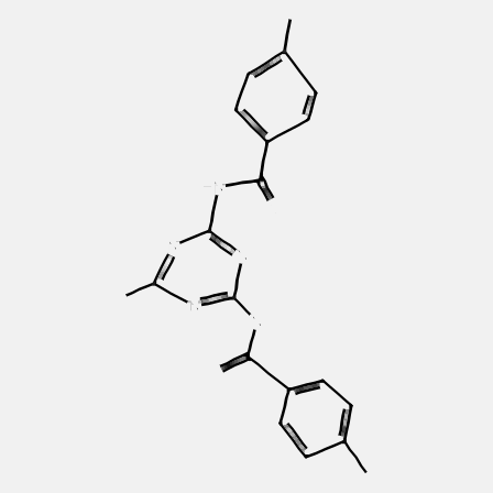 Cc1ccc(C(=O)Nc2nc(C)nc(NC(=O)c3ccc(C)cc3)n2)cc1